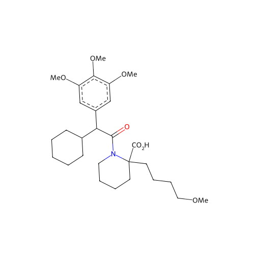 COCCCCC1(C(=O)O)CCCCN1C(=O)C(c1cc(OC)c(OC)c(OC)c1)C1CCCCC1